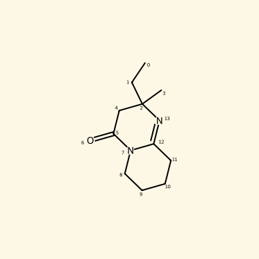 CCC1(C)CC(=O)N2CCCCC2=N1